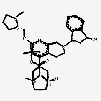 CN1CCC[C@H]1COc1nc2c(c(N3C[C@H]4CC[C@@H](C3)N4C(=O)OC(C)(C)C)n1)CCN(C1CC(O)c3ccccc31)C2